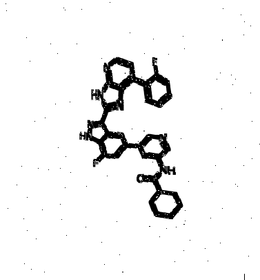 O=C(Nc1cncc(-c2cc(F)c3[nH]nc(-c4nc5c(-c6ccccc6F)ccnc5[nH]4)c3c2)c1)C1CCCCC1